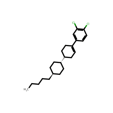 CCCCC[C@H]1CC[C@H](C2CC=C(c3ccc(Cl)c(Cl)c3)CC2)CC1